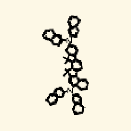 CC1(C)c2cc(N(c3ccc4ccccc4c3)c3ccc4ccccc4c3)ccc2-c2ccc3c(c21)C(C)(C)c1cc(N(c2ccc4ccccc4c2)c2ccc4ccccc4c2)c2ccccc2c1-3